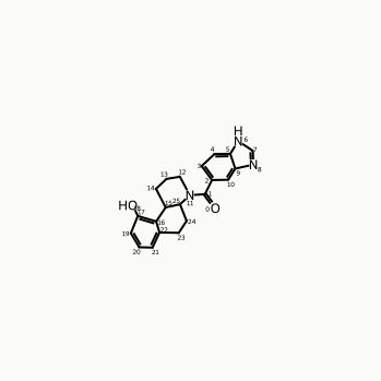 O=C(c1ccc2[nH]cnc2c1)N1CCCC2c3c(O)cccc3CCC21